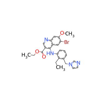 CCOC(=O)c1cnc2cc(OC)c(Br)cc2c1Nc1cccc(Cn2ccnc2)c1CC